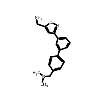 CN(C)Cc1ccc(-c2cccc(-c3cc(CN)on3)c2)cc1